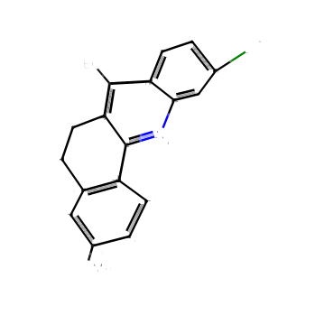 CCc1c2c(nc3cc(F)ccc13)-c1ccc(OC)cc1CC2